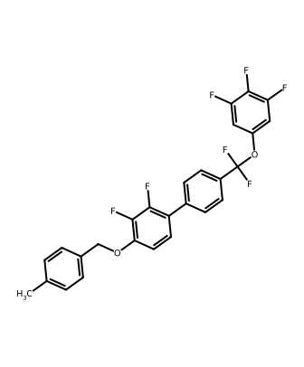 Cc1ccc(COc2ccc(-c3ccc(C(F)(F)Oc4cc(F)c(F)c(F)c4)cc3)c(F)c2F)cc1